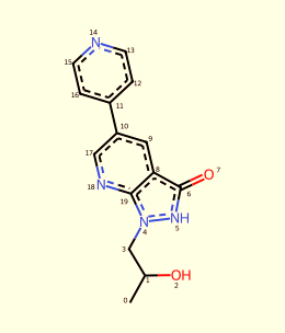 CC(O)Cn1[nH]c(=O)c2cc(-c3ccncc3)cnc21